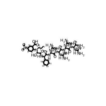 CCCN(c1ccc([N+](=O)[O-])cc1C(=O)O)C(O)C(=O)NC(C(=O)NC(NC(=N)N)C(=O)NC(NC(=N)N)C(=O)NC(NC(=N)N)C(=O)NC(NC(=N)N)C(N)=O)c1ccccc1